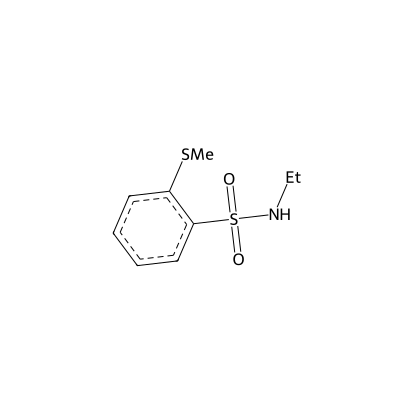 CCNS(=O)(=O)c1ccccc1SC